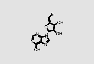 Oc1ncnc2c1ncn2[C@@H]1O/C(=C/Br)C(O)C1O